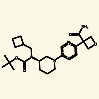 CC(C)(C)OC(=O)N(CC1CCC1)[C@@H]1CCCN(c2ccc(C3(C(N)=O)COC3)nc2)C1